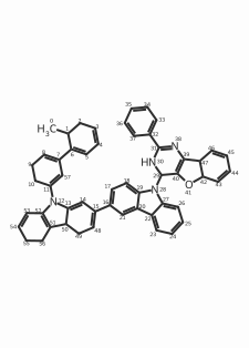 CC1CC=CC=C1C1=CCCC(N2C3=CC(c4ccc5c(c4)c4ccccc4n5C4NC(c5ccccc5)=NC5=C4OC4C=CC=CC54)=CCC3C3=C2C=CCC3)=C1